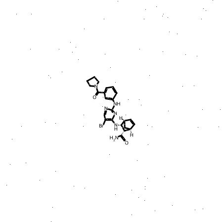 NC(=O)[C@@H]1[C@H](Nc2nc(Nc3cccc(C(=O)N4CCCC4)c3)ncc2Br)[C@H]2C=C[C@@H]1C2